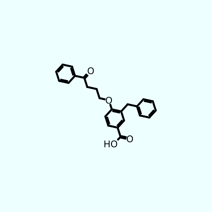 O=C(O)c1ccc(OCCCC(=O)c2ccccc2)c(Cc2ccccc2)c1